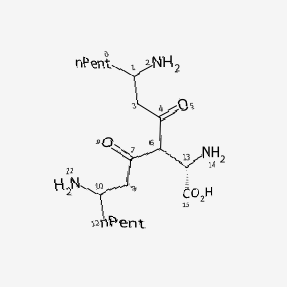 CCCCCC(N)CC(=O)C(C(=O)CC(N)CCCCC)[C@H](N)C(=O)O